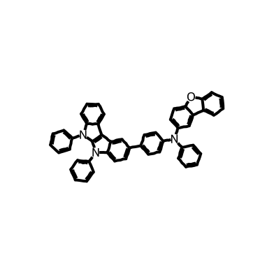 c1ccc(N(c2ccc(-c3ccc4c(c3)c3c5ccccc5n(-c5ccccc5)c3n4-c3ccccc3)cc2)c2ccc3oc4ccccc4c3c2)cc1